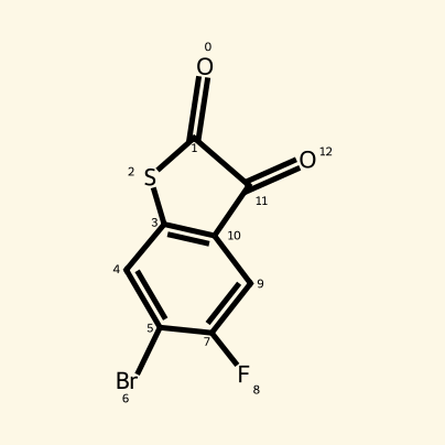 O=C1Sc2cc(Br)c(F)cc2C1=O